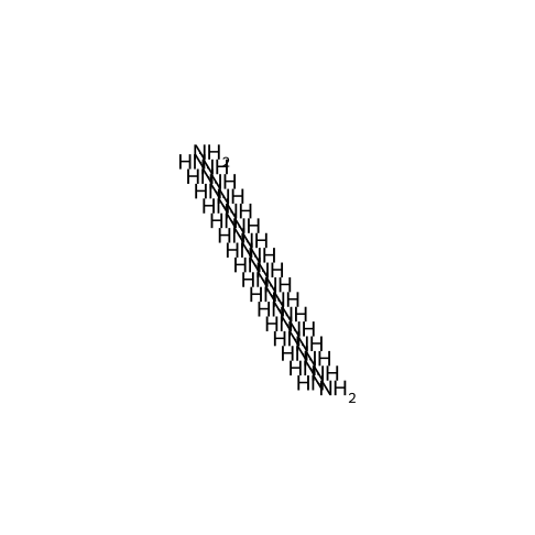 NNNNNNNNNNNNNNNNNNNNNNNNNNNNNNNNN